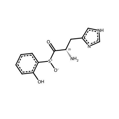 N[C@@H](Cc1c[nH]cn1)C(=O)[S+]([O-])c1ccccc1O